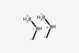 BBC.BBC